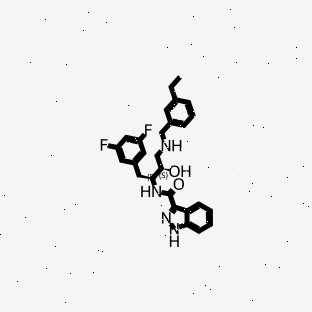 CCc1cccc(CNC[C@H](O)[C@H](Cc2cc(F)cc(F)c2)NC(=O)c2n[nH]c3ccccc23)c1